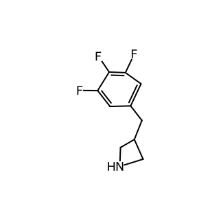 Fc1cc(CC2CNC2)cc(F)c1F